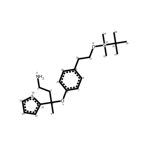 CC(CCN)(Oc1ccc(CCO[Si](C)(C)C(C)(C)C)cc1)c1cccs1